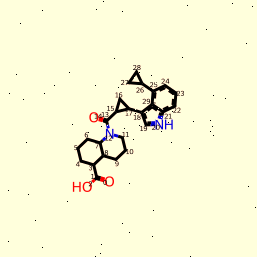 O=C(O)C1CCCC2C1CCCN2C(=O)C1CC1c1c[nH]c2cccc(C3CC3)c12